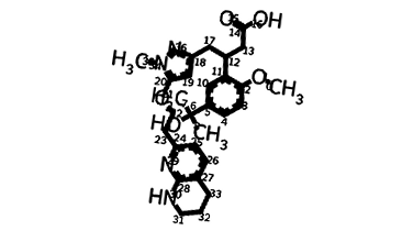 COc1ccc(C(C)(C)O)cc1C(CC(=O)O)Cc1cc(OCCc2ccc3c(n2)NCCC3)n(C)n1